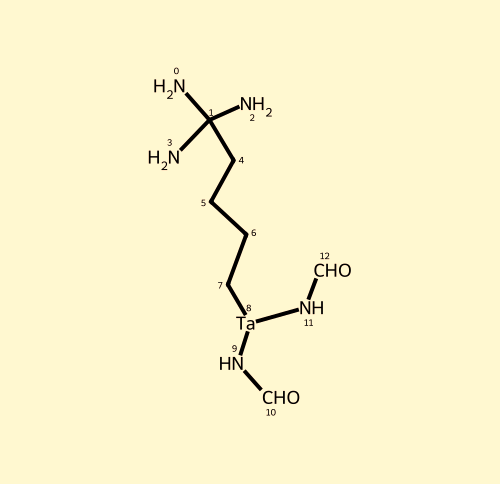 NC(N)(N)CCC[CH2][Ta]([NH]C=O)[NH]C=O